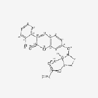 C=CC(=O)OC1CCC(Oc2ccc3cc(-c4ccccc4CC)c(=O)oc3c2)C1(C)C(F)(F)F